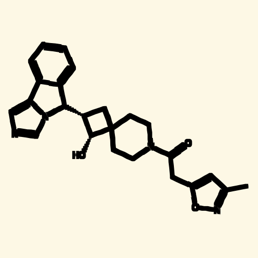 Cc1cc(CC(=O)N2CCC3(CC2)C[C@@H](C2c4ccccc4-c4cncn42)[C@H]3O)on1